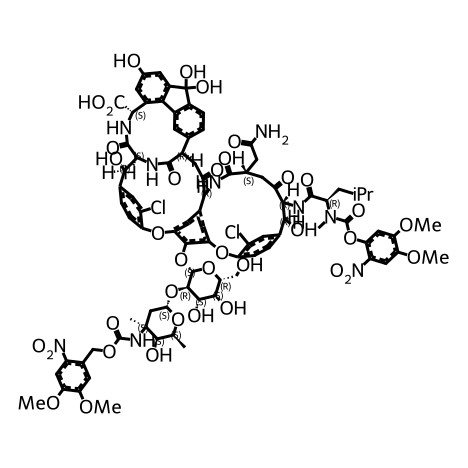 COc1cc(COC(=O)N[C@@]2(C)C[C@H](O[C@H]3[C@H](Oc4c5cc6cc4Oc4ccc(cc4Cl)[C@@H](O)[C@@H](NC(=O)[C@@H](CC(C)C)N(C)C(=O)Oc4cc(OC)c(OC)cc4[N+](=O)[O-])C(=O)C[C@@H](CC(N)=O)C(=O)N[C@H]6C(=O)C[C@H]4C(=O)N[C@H](C(=O)N[C@H](C(=O)O)c6cc(O)cc7c6-c6cc4ccc6C7(O)O)[C@H](O)c4ccc(c(Cl)c4)O5)O[C@H](CO)[C@@H](O)[C@@H]3O)O[C@@H](C)[C@H]2O)c([N+](=O)[O-])cc1OC